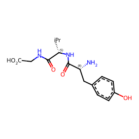 CC(C)[C@H](NC(=O)[C@H](N)Cc1ccc(O)cc1)C(=O)NCC(=O)O